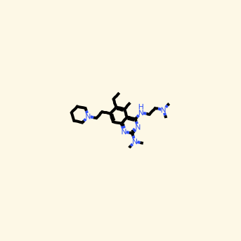 CCc1c(CCN2CCCCC2)cc2nc(N(C)C)nc(NCCN(C)C)c2c1C